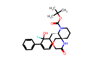 CC(C)(C)OC(=O)N1CCC[C@@]2(COCC(=O)N2)[C@@H]1CC1C=CC=C(c2ccccc2)C1(O)F